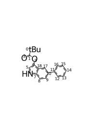 CC(C)(C)C(=O)Oc1c[nH]c2ccc(-c3ccccc3)cc12